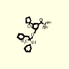 CCCN(CCC)C(=O)c1cc(COCC(C)(Cc2ccccc2)Nc2ccccc2)cc(C2(C#N)CCCC2)c1